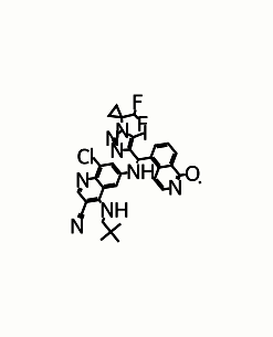 COc1nccc2c([C@H](Nc3cc(Cl)c4ncc(C#N)c(NCC(C)(C)C)c4c3)c3nnn(C4(C(F)F)CC4)c3I)cccc12